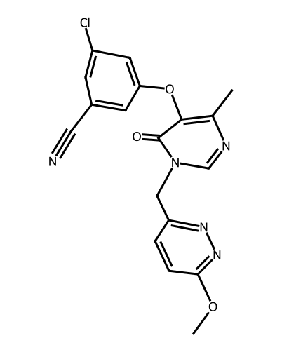 COc1ccc(Cn2cnc(C)c(Oc3cc(Cl)cc(C#N)c3)c2=O)nn1